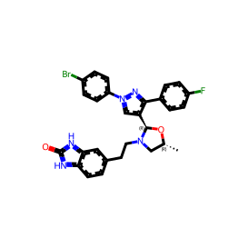 C[C@@H]1CN(CCc2ccc3[nH]c(=O)[nH]c3c2)[C@@H](c2cn(-c3ccc(Br)cc3)nc2-c2ccc(F)cc2)O1